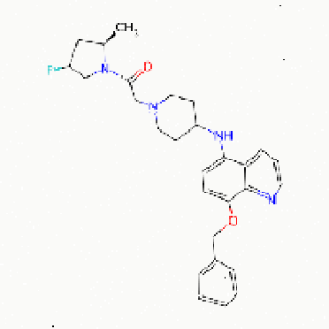 C[C@@H]1C[C@H](F)CN1C(=O)CN1CCC(Nc2ccc(OCc3ccccc3)c3ncccc23)CC1